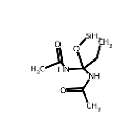 CCC(NC(C)=O)(NC(C)=O)O[SiH3]